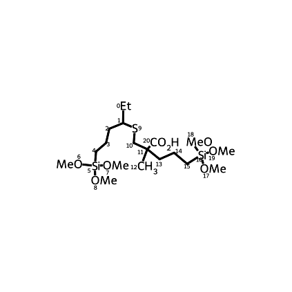 CCC(CCC[Si](OC)(OC)OC)SCC(C)(CCC[Si](OC)(OC)OC)C(=O)O